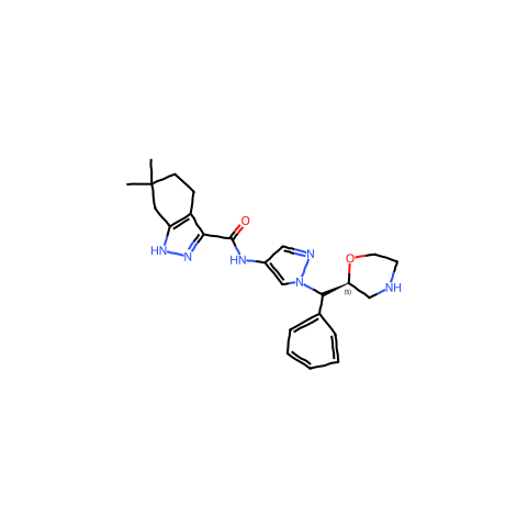 CC1(C)CCc2c(C(=O)Nc3cnn(C(c4ccccc4)[C@@H]4CNCCO4)c3)n[nH]c2C1